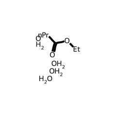 CCCC(=O)OCC.O.O.O.O